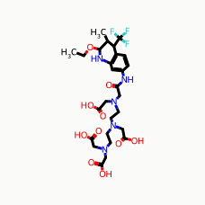 CCOC1Nc2cc(NC(=O)CN(CCN(CCN(CC(=O)O)CC(=O)O)CC(=O)O)CC(=O)O)ccc2C(C(F)(F)F)C1C